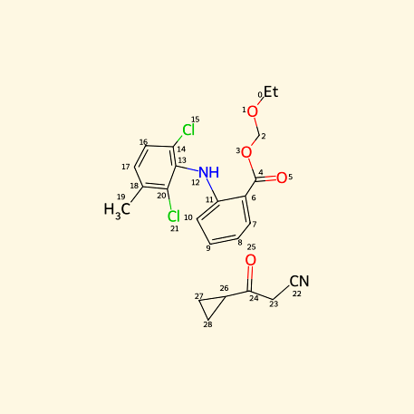 CCOCOC(=O)c1ccccc1Nc1c(Cl)ccc(C)c1Cl.N#CCC(=O)C1CC1